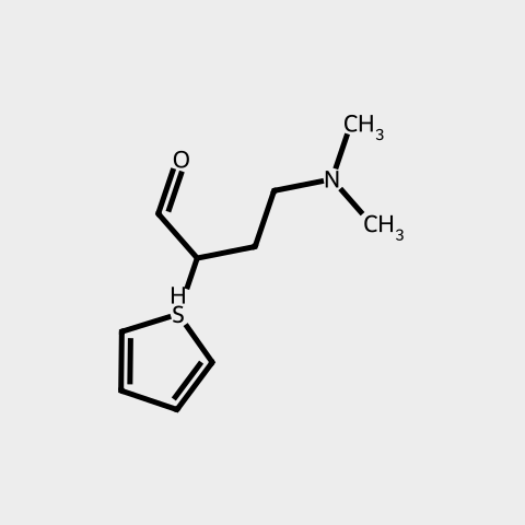 CN(C)CCC(C=O)[SH]1C=CC=C1